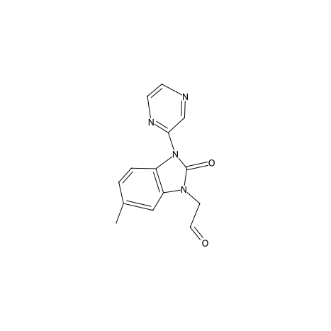 Cc1ccc2c(c1)n(CC=O)c(=O)n2-c1cnccn1